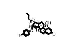 CCC[C@@H]1O[C@@H]2C[C@H]3[C@@H]4CCC5=CC(=O)C=C[C@]5(C)[C@H]4[C@@H](O)C[C@]3(C)[C@]2(C(=O)COc2ccc(F)cc2)O1